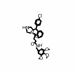 COc1cc(CNC(=O)CCC(=O)N2CCCNCC2C(c2ccccc2)c2ccc(Cl)cc2)cc(OC)c1OC